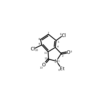 CCN1C(=O)c2c(Cl)ccc(Cl)c2C1=O